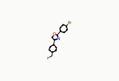 Brc1ccc(-c2nc(-c3ccc(CI)cc3)co2)cc1